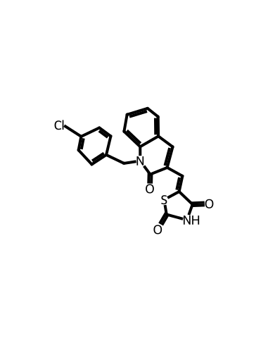 O=C1NC(=O)C(=Cc2cc3ccccc3n(Cc3ccc(Cl)cc3)c2=O)S1